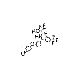 CCc1cc(Oc2cccc(C(NCC(O)C(F)(F)F)c3ccc(C(F)(F)F)cc3F)c2)ccc1Cl